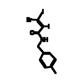 Cc1ccc(CNC(=O)/C(I)=C(\Br)I)cc1